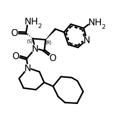 NC(=O)[C@@H]1[C@@H](Cc2ccnc(N)c2)C(=O)N1C(=O)N1CCCC(C2CCCCCCC2)C1